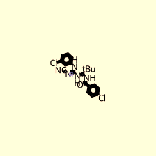 CC(C)(C)C(NC(=O)c1ccc(Cl)cc1)N/C(=N/C#N)Nc1cccc(Cl)c1